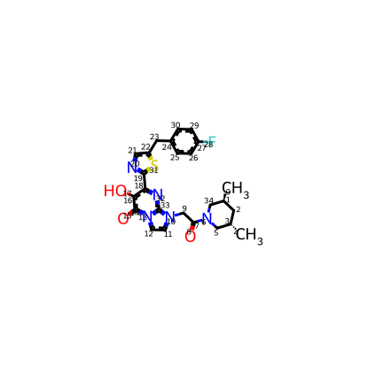 C[C@H]1C[C@H](C)CN(C(=O)Cn2ccn3c(=O)c(O)c(-c4ncc(Cc5ccc(F)cc5)s4)nc23)C1